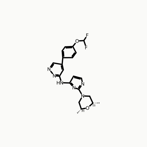 C[C@@H]1CN(c2nccc(Nc3cc(-c4ccc(OC(F)F)cc4)cnn3)n2)C[C@H](C)O1